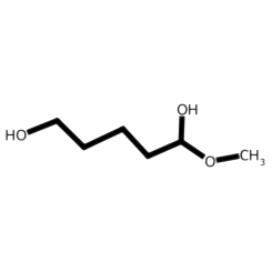 COC(O)CCCCO